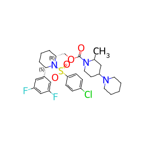 CC1CC(N2CCCCC2)CCN1C(=O)OC[C@H]1CCC[C@@H](c2cc(F)cc(F)c2)N1S(=O)(=O)c1ccc(Cl)cc1